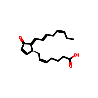 CC/C=C\C/C=C/C=C1/C(=O)C=C[C@H]1C/C=C\CCCC(=O)O